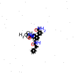 CC(C)(C)NC(=O)N1CCc2c(-c3cccc(C(N)=O)c3)ccc(CNC(=O)C3C[C@@H]3c3ccccc3)c2C1